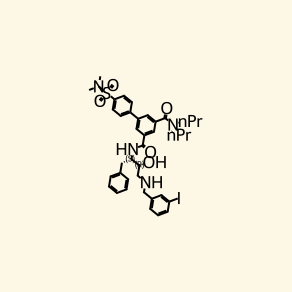 CCCN(CCC)C(=O)c1cc(C(=O)N[C@@H](Cc2ccccc2)[C@H](O)CNCc2cccc(I)c2)cc(-c2ccc(S(=O)(=O)N(C)C)cc2)c1